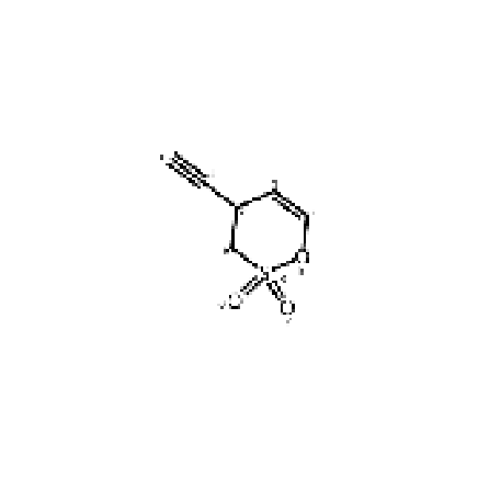 C#CC1C=COS(=O)(=O)C1